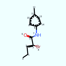 CC/C=C(\Br)C(=O)Nc1ccc(C)cc1